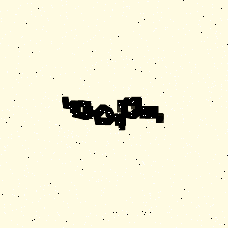 CCN1CCN(c2ccc(N(C)c3cc(N)ncn3)cc2)CC1